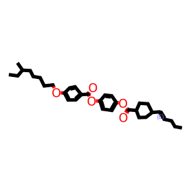 CCC/C=C/C1CCC(C(=O)Oc2ccc(OC(=O)c3ccc(OCCCCCC(C)CC)cc3)cc2)CC1